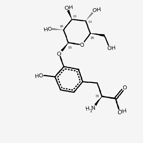 N[C@@H](Cc1ccc(O)c(O[C@@H]2O[C@H](CO)[C@@H](O)[C@H](O)[C@H]2O)c1)C(=O)O